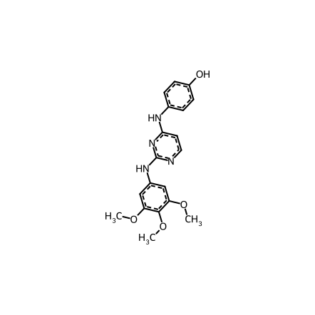 COc1cc(Nc2nccc(Nc3ccc(O)cc3)n2)cc(OC)c1OC